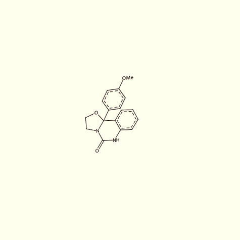 COc1ccc(C23OCCN2C(=O)Nc2ccccc23)cc1